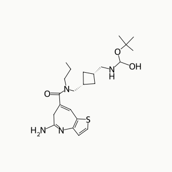 CCCN(C[C@H]1C[C@@H](CNC(O)OC(C)(C)C)C1)C(=O)C1=Cc2sccc2N=C(N)C1